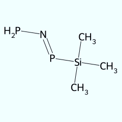 C[Si](C)(C)P=NP